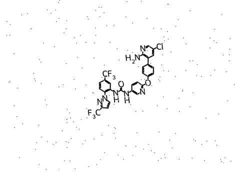 Nc1ncc(Cl)cc1-c1ccc(Oc2ccc(NC(=O)Nc3cc(C(F)(F)F)ccc3-n3ccc(C(F)(F)F)n3)cn2)cc1